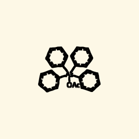 CC(=O)O[As](c1ccccc1)(c1ccccc1)(c1ccccc1)c1ccccc1